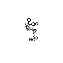 COc1ccc(-c2c(-c3ccccc3)oc3ncnc(OC[C@H]4CCCN4CCCC(=O)O)c23)cc1